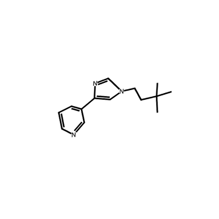 CC(C)(C)CCn1cnc(-c2cccnc2)c1